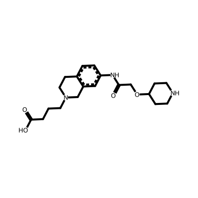 O=C(O)CCCN1CCc2ccc(NC(=O)COC3CCNCC3)cc2C1